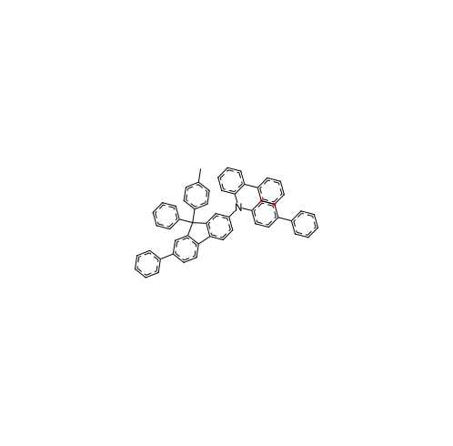 Cc1ccc(C2(c3ccccc3)c3cc(-c4ccccc4)ccc3-c3ccc(N(c4ccc(-c5ccccc5)cc4)c4ccccc4-c4ccccc4)cc32)cc1